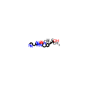 CN1C(=O)C(NC(=O)n2cc(Cc3cccnn3)cn2)CCc2ccc(C#CC(C)(C)O)cc21